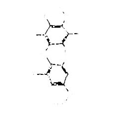 COc1cc(F)c(Bc2c(F)c(F)c(OC)c(F)c2F)c(F)c1